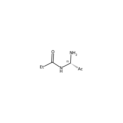 CCC(=O)N[C@H](N)C(C)=O